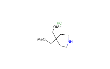 COCC1(COC)CCNCC1.Cl